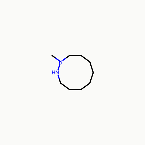 CN1CCCCCCCCN1